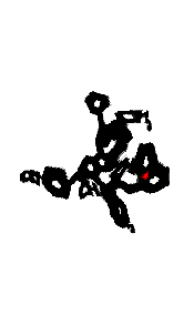 CCCCc1c(C)c(-c2ccccc2)cc2c1[CH]([Zr+2]([C]1=CC=CC1)=[C](Cc1ccccc1)Cc1ccccc1)c1cc(C)c(-c3ccccc3)cc1-2.[Cl-].[Cl-]